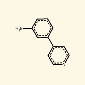 Bc1cccc(-c2ccncc2)c1